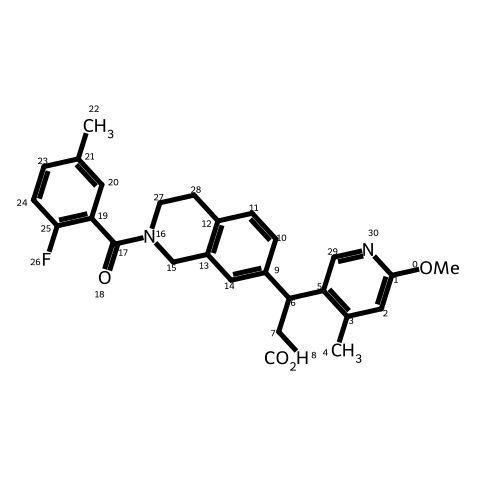 COc1cc(C)c(C(CC(=O)O)c2ccc3c(c2)CN(C(=O)c2cc(C)ccc2F)CC3)cn1